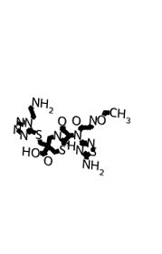 CCON=CC(=O)N(c1nsc(N)n1)C1C(=O)N2CC(CSc3nnnn3CCN)(C(=O)O)CS[C@H]12